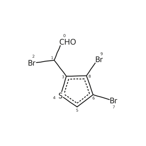 O=CC(Br)c1scc(Br)c1Br